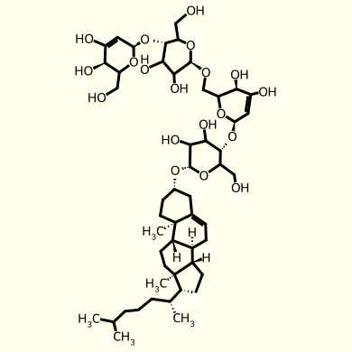 CC(C)CCC[C@@H](C)[C@H]1CC[C@H]2[C@@H]3CC=C4C[C@@H](O[C@H]5OC(CO)[C@@H](O[C@@H]6C=C(O)[C@H](O)C(CO[C@@H]7OC(CO)[C@@H](O[C@@H]8C=C(O)[C@H](O)C(CO)O8)C(O)C7O)O6)C(O)C5O)CC[C@]4(C)[C@H]3CC[C@]12C